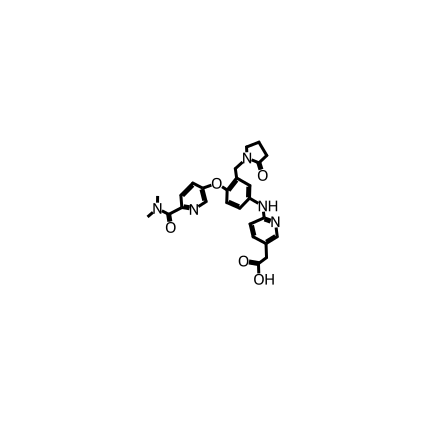 CN(C)C(=O)c1ccc(Oc2ccc(Nc3ccc(CC(=O)O)cn3)cc2CN2CCCC2=O)cn1